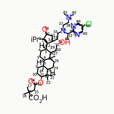 CC(C)C1=C2[C@H]3CC[C@@H]4[C@@]5(C)CC[C@H](OC(=O)CC(C)(C)C(=O)O)C(C)(C)[C@@H]5CC[C@@]4(C)[C@]3(C)CC[C@@]2([C@@H](O)CN(CCN(C)C)[C@H](C)c2ncc(Cl)cn2)CC1=O